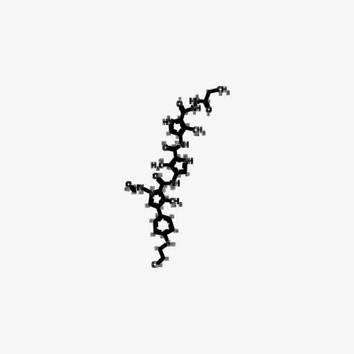 CCC(=O)NNC(=O)c1[nH]cc(NC(=O)c2[nH]cc(NC(=O)c3c(C)c(-c4ccc(SCCCl)cc4)cn3NC=O)c2C)c1C